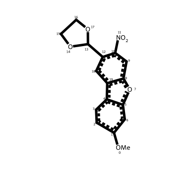 COc1ccc2c(c1)oc1cc([N+](=O)[O-])c(C3OCCO3)cc12